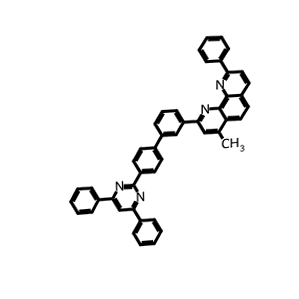 Cc1cc(-c2cccc(-c3ccc(-c4nc(-c5ccccc5)cc(-c5ccccc5)n4)cc3)c2)nc2c1ccc1ccc(-c3ccccc3)nc12